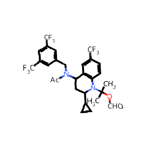 CC(=O)N(Cc1cc(C(F)(F)F)cc(C(F)(F)F)c1)C1CC(C2CC2)N(C(C)(C)OC=O)c2ccc(C(F)(F)F)cc21